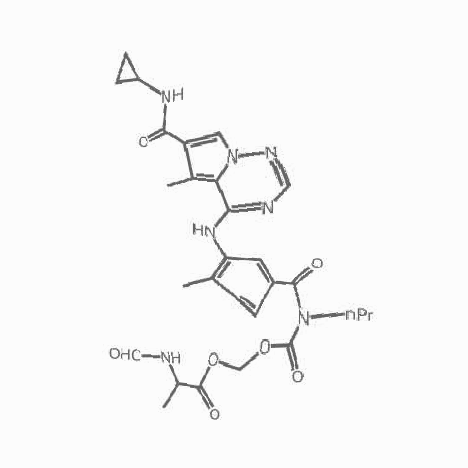 CCCN(C(=O)OCOC(=O)C(C)NC=O)C(=O)c1ccc(C)c(Nc2ncnn3cc(C(=O)NC4CC4)c(C)c23)c1